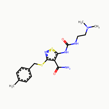 Cc1ccc(CSc2nsc(NC(=O)NCCN(C)C)c2C(N)=O)cc1